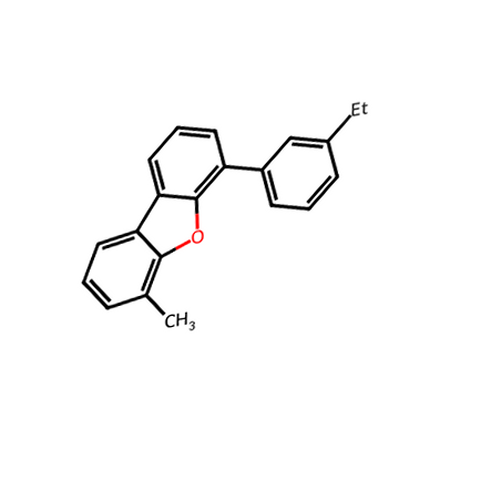 CCc1cccc(-c2cccc3c2oc2c(C)cccc23)c1